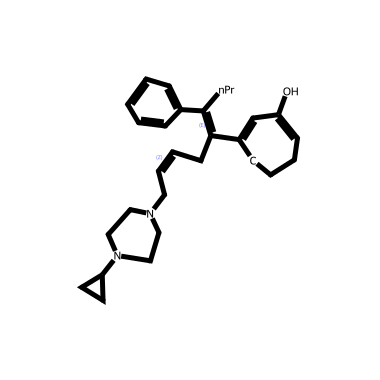 CCC/C(=C(/C/C=C\CN1CCN(C2CC2)CC1)C1=CC(O)=CCCC1)c1ccccc1